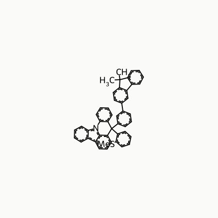 CSc1ccccc1C1(c2cccc(-c3ccc4c(c3)-c3ccccc3C4(C)C)c2)c2ccccc2-n2c3ccccc3c3cccc1c32